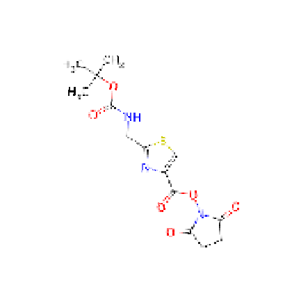 CC(C)(C)OC(=O)NCc1nc(C(=O)ON2C(=O)CCC2=O)cs1